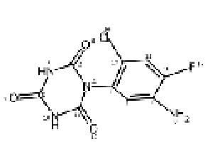 Nc1cc(-n2c(=O)[nH]c(=O)[nH]c2=O)c(Cl)cc1F